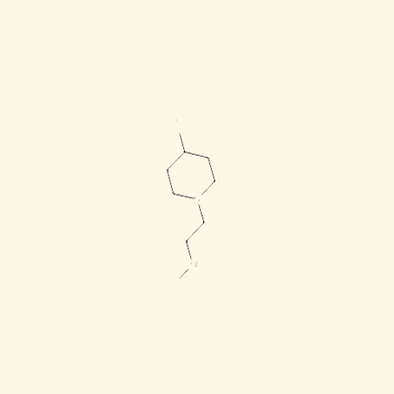 [CH2-][NH2+]CCN1CCC(O)CC1